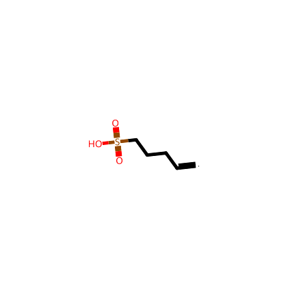 [CH]=CCCCS(=O)(=O)O